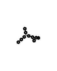 c1ccc(-c2ccc(-c3ccc(N(c4ccc(-c5ccccc5)cc4)c4ccc(-c5ccc6c(c5)-c5ccccc5C65CC6CCC7CC6CC5C7)cc4)cc3)cc2)cc1